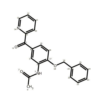 CC(=O)Nc1cc(C(=O)c2ccccn2)ccc1OCc1ccccc1